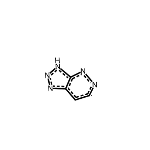 [c]1cc2nn[nH]c2nn1